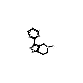 CN1CCc2noc(-c3ncccn3)c2C1